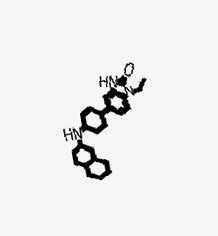 CCn1c(=O)[nH]c2cc(C3CCC(NC4CCC5CCCCC5C4)CC3)ccc21